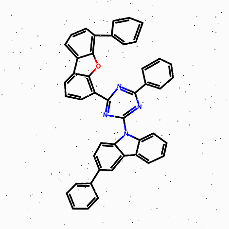 c1ccc(-c2ccc3c(c2)c2ccccc2n3-c2nc(-c3ccccc3)nc(-c3cccc4c3oc3c(-c5ccccc5)cccc34)n2)cc1